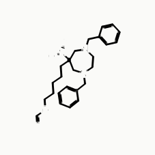 O=COCCCCCC1([N+](=O)[O-])CN(Cc2ccccc2)CCN(Cc2ccccc2)C1